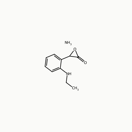 CCNc1ccccc1C1OC1=O.N